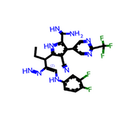 CCC(/C(=C/Nc1ccc(F)c(F)c1)N=N)c1[nH]c(C(=N)N)c(-c2cnc(C(F)(F)F)nc2)c1C#N